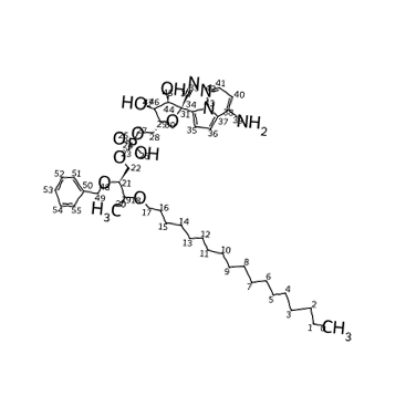 CCCCCCCCCCCCCCCCCCO[C@@H](C)[C@H](COP(=O)(O)OC[C@H]1O[C@@](C#N)(c2ccc3c(N)ccnn23)[C@H](O)[C@@H]1O)OCc1ccccc1